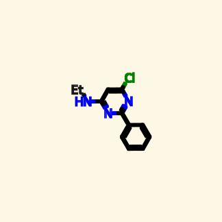 [CH2]CNc1cc(Cl)nc(-c2ccccc2)n1